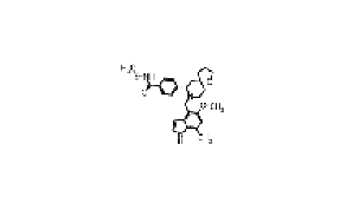 COc1cc(C)c2[nH]ccc2c1CN1CCC2(CCCO2)C[C@H]1c1ccc(C(=O)NSC)cc1